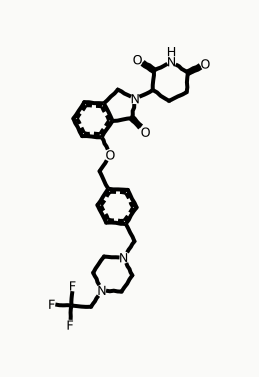 O=C1CCC(N2Cc3cccc(OCc4ccc(CN5CCN(CC(F)(F)F)CC5)cc4)c3C2=O)C(=O)N1